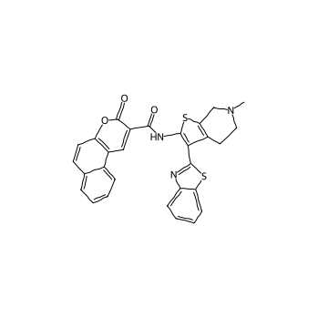 CN1CCc2c(sc(NC(=O)c3cc4c(ccc5ccccc54)oc3=O)c2-c2nc3ccccc3s2)C1